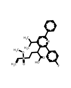 C=CP(=O)(CCC(C(=O)O)c1c(C(C)C)cc(-c2ccccc2)nc1-c1ccc(F)cc1)OC